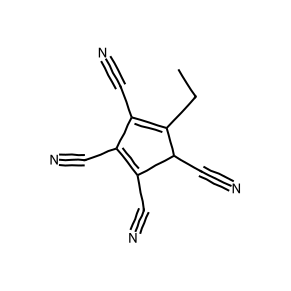 CCC1=C(C#N)C(C#N)=C(C#N)C1C#N